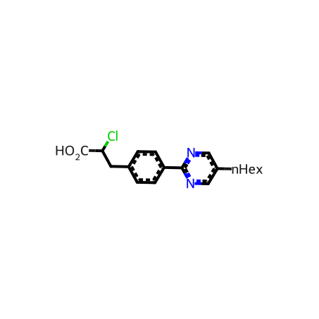 CCCCCCc1cnc(-c2ccc(CC(Cl)C(=O)O)cc2)nc1